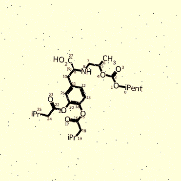 CCCC(C)OC(=O)OC(C)CN[C@@H](Cc1ccc(OC(=O)CC(C)C)c(OC(=O)CC(C)C)c1)C(=O)O